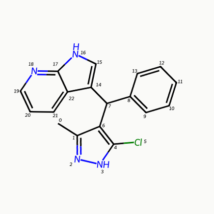 Cc1n[nH]c(Cl)c1C(c1ccccc1)c1c[nH]c2ncccc12